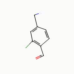 NCc1ccc(C=O)c(Cl)c1